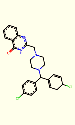 O=c1[nH]c(CN2CCN(C(C3=CCC(Cl)C=C3)c3ccc(Cl)cc3)CC2)nc2ccccc12